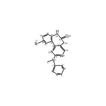 CN(c1ccccc1)c1ncc2c(n1)-c1cc(Br)ccc1NC(=O)C2